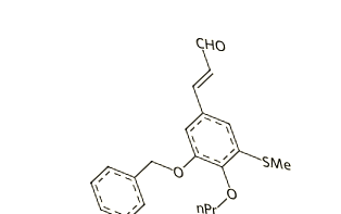 CCCOc1c(OCc2ccccc2)cc(C=CC=O)cc1SC